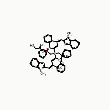 C=C(COC)CS(CNOC(=N)CS)(C1=C/C(=C\c2sc3ccccc3[n+]2C)c2ccccc2N1c1ccccc1)C1=C/C(=C\c2sc3ccccc3[n+]2C)c2ccccc2N1c1ccccc1